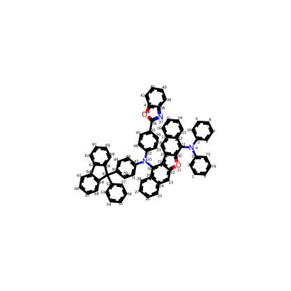 c1ccc(N(c2ccccc2)c2c3ccccc3cc3c2oc2cc4ccccc4c(N(c4ccc(-c5nc6ccccc6o5)cc4)c4ccc(C5(c6ccccc6)c6ccccc6-c6ccccc65)cc4)c23)cc1